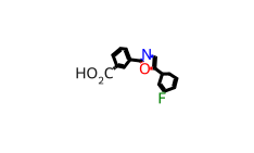 O=C(O)c1cccc(-c2ncc(C3C=C(F)C=CC3)o2)c1